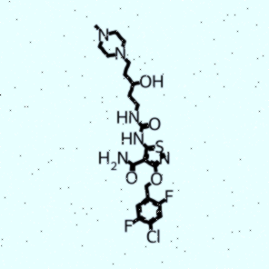 CN1CCN(CCC(O)CCNC(=O)Nc2snc(OCc3cc(F)c(Cl)cc3F)c2C(N)=O)CC1